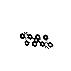 C[Si]1(C)c2ccccc2N(c2ccccc2)c2cc(-c3c4ccccc4c(-c4ccc5c(c4)N(c4ccccc4)c4ccccc4[Si]5(C)C)c4ncccc34)ccc21